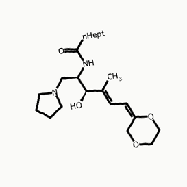 CCCCCCCC(=O)N[C@H](CN1CCCC1)[C@H](O)/C(C)=C/C=C1\COCCO1